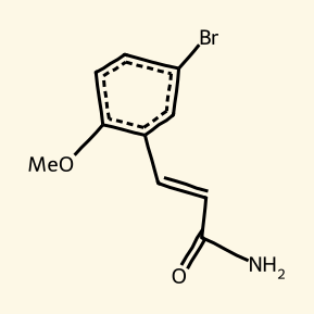 COc1ccc(Br)cc1C=CC(N)=O